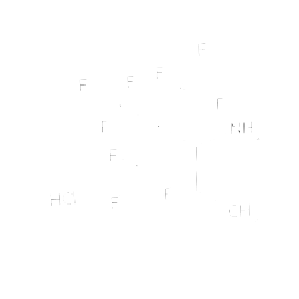 CCC(N)C(C(F)(F)F)(C(F)(F)F)C(F)(F)F.Cl